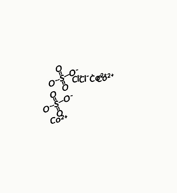 O=S(=O)([O-])[O-].O=S(=O)([O-])[O-].[Cl-].[Cl-].[Co+2].[Co+2].[Co+2]